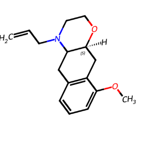 C=CCN1CCO[C@H]2Cc3c(cccc3OC)CC21